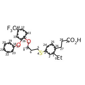 CCc1cc(SCC[C@H](C)Oc2ccc(C(F)(F)F)cc2Oc2ccccc2)ccc1CCC(=O)O